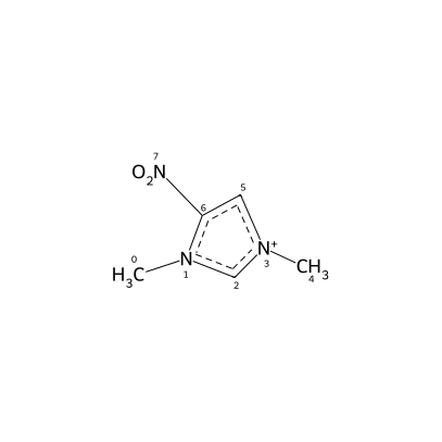 Cn1c[n+](C)cc1[N+](=O)[O-]